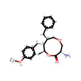 C[C@@H]1OC(=O)[C@@H](N)COC[C@H](Cc2ccccc2)[C@H]1Cc1ccc(OC(F)(F)F)cc1